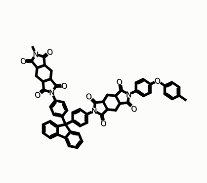 Cc1ccc(Oc2ccc(N3C(=O)C4CC5C(=O)N(c6ccc(C7(c8ccc(N9C(=O)C%10CC%11C(=O)N(C)C(=O)C%11CC%10C9=O)cc8)c8ccccc8-c8ccccc87)cc6)C(=O)C5CC4C3=O)cc2)cc1